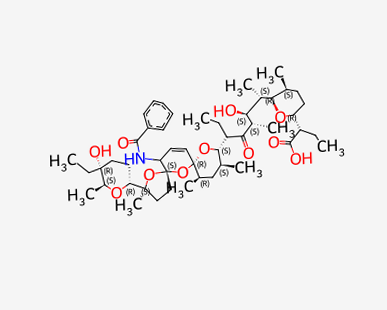 CCC(C(=O)[C@@H](C)[C@@H](O)[C@H](C)[C@@H]1O[C@@H](C(CC)C(=O)O)CC[C@@H]1C)[C@H]1O[C@]2(C=CC(NC(=O)c3ccccc3)[C@]3(CC[C@@](C)([C@H]4CC[C@](O)(CC)[C@H](C)O4)O3)O2)[C@H](C)C[C@@H]1C